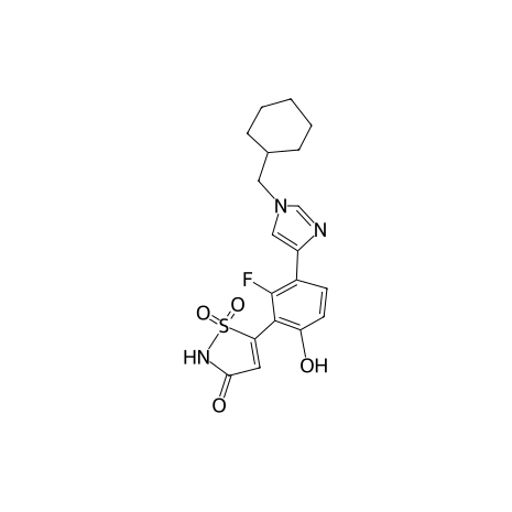 O=C1C=C(c2c(O)ccc(-c3cn(CC4CCCCC4)cn3)c2F)S(=O)(=O)N1